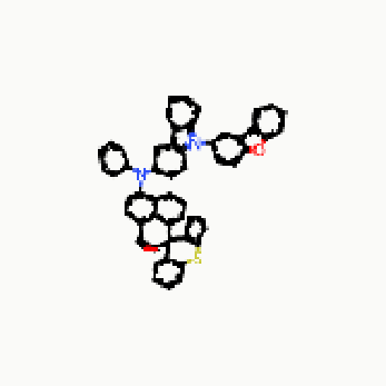 c1ccc(N(c2ccc3c(c2)c2ccccc2n3-c2ccc3oc4ccccc4c3c2)c2ccc3c4c(cccc24)C2(c4ccccc4Sc4ccccc42)c2ccccc2-3)cc1